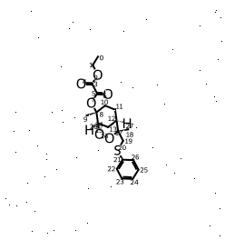 CCOC(=O)C(=O)O[C@]1(C)CC[C@@H]2C[C@H]1OO[C@@]2(C)CSc1ccccc1